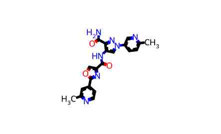 Cc1ccc(-n2cc(NC(=O)c3coc(-c4ccnc(C)c4)n3)c(C(N)=O)n2)cn1